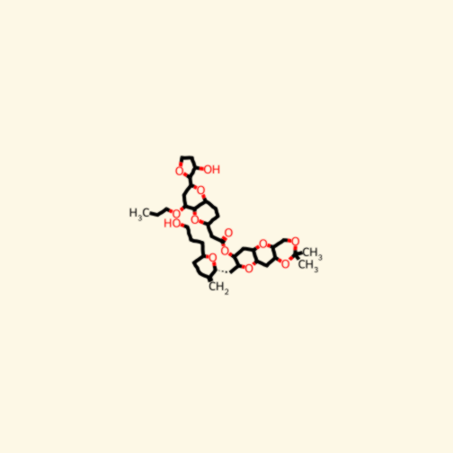 C=C1CCC(CCCO)O[C@@H]1CC1OC2CC3OC(C)(C)OCC3OC2CC1OC(=O)CC1CCC2OC(C3OCCC3O)CC(OCCC)C2O1